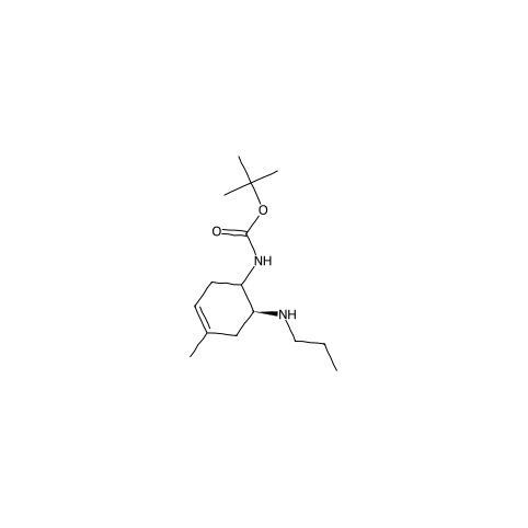 CCCN[C@H]1CC(C)=CCC1NC(=O)OC(C)(C)C